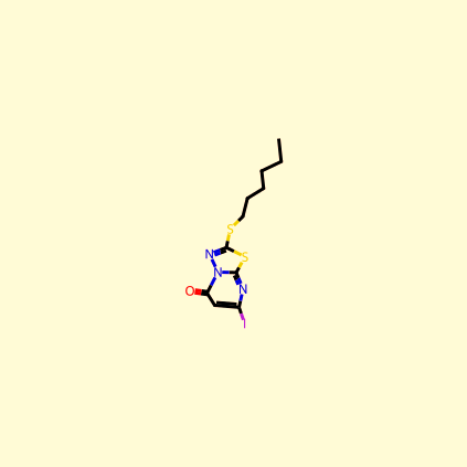 CCCCCCSc1nn2c(=O)cc(I)nc2s1